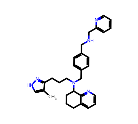 Cc1c[nH]nc1CCCN(Cc1ccc(CNCc2ccccn2)cc1)C1CCCc2cccnc21